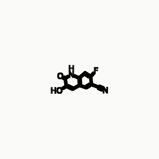 N#Cc1cc2cc(O)c(=O)[nH]c2cc1F